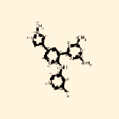 Cc1nc(N)nc(-c2cc(-c3cnn(C)c3)cnc2Nc2cncc(F)c2)n1